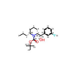 CCC[C@@H]1CCC[C@H]([C@@H](O)c2cccc(F)c2)N1C(=O)OC(C)(C)C